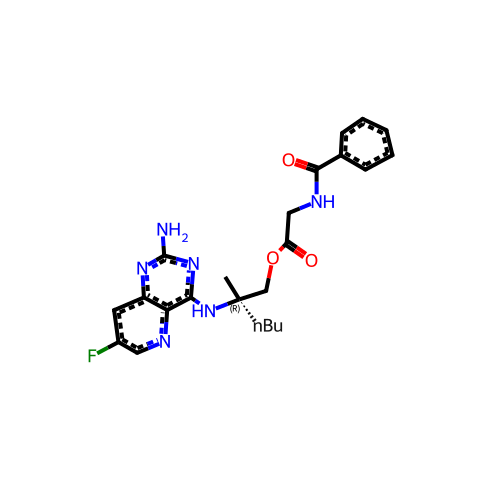 CCCC[C@](C)(COC(=O)CNC(=O)c1ccccc1)Nc1nc(N)nc2cc(F)cnc12